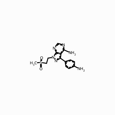 CS(=O)(=O)CCn1nc(-c2ccc(N)cc2)c2c(N)ncnc21